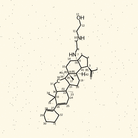 C=C(C)[C@@H]1CC[C@]2(NCCNCCO)CC[C@]3(C)[C@H](CCC4[C@@]5(C)CC=C(C6=CCCCC6)C(C)(C)C5CC[C@]43C)C12